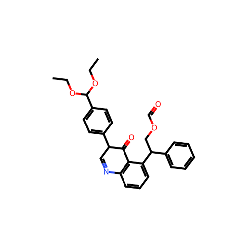 CCOC(OCC)c1ccc(C2C=Nc3cccc(C(COC=O)c4ccccc4)c3C2=O)cc1